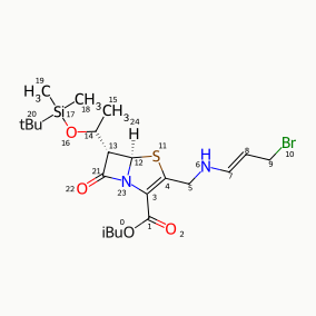 CC(C)COC(=O)C1=C(CN/C=C/CBr)S[C@@H]2[C@@H](C(C)O[Si](C)(C)C(C)(C)C)C(=O)N12